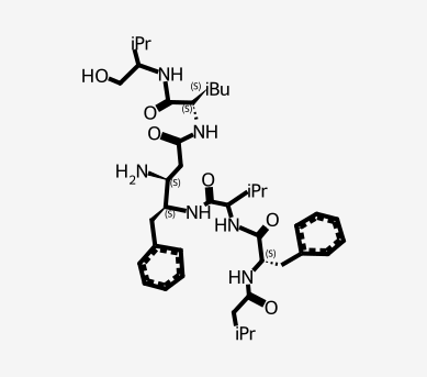 CC[C@H](C)[C@H](NC(=O)C[C@H](N)[C@H](Cc1ccccc1)NC(=O)C(NC(=O)[C@H](Cc1ccccc1)NC(=O)CC(C)C)C(C)C)C(=O)NC(CO)C(C)C